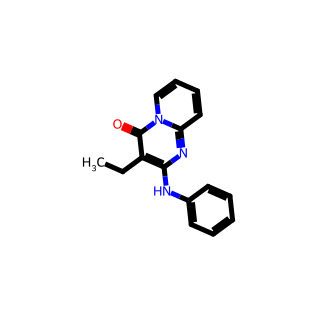 CCc1c(Nc2ccccc2)nc2ccccn2c1=O